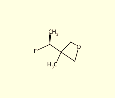 C[C@H](F)C1(C)COC1